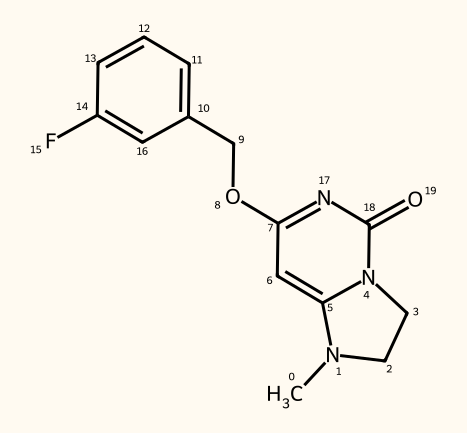 CN1CCn2c1cc(OCc1cccc(F)c1)nc2=O